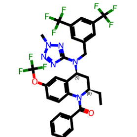 CC[C@@H]1C[C@H](N(Cc2cc(C(F)(F)F)cc(C(F)(F)F)c2)c2nnn(C)n2)c2cc(OC(F)(F)F)ccc2N1C(=O)c1ccccc1